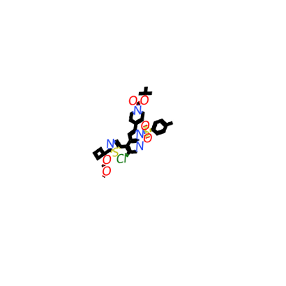 COCOC1(c2ncc(-c3c(Cl)cnc4c3cc(C3=CCN(C(=O)OC(C)(C)C)CC3)n4S(=O)(=O)c3ccc(C)cc3)s2)CCC1